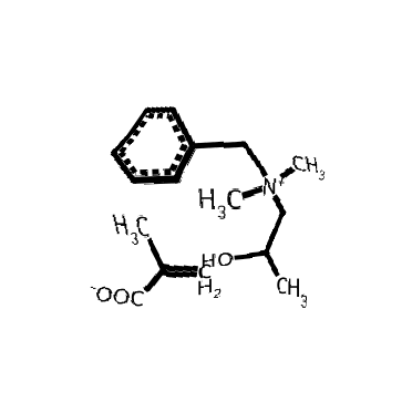 C=C(C)C(=O)[O-].CC(O)C[N+](C)(C)Cc1ccccc1